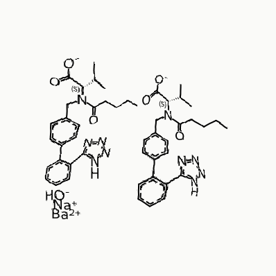 CCCCC(=O)N(Cc1ccc(-c2ccccc2-c2nnn[nH]2)cc1)[C@H](C(=O)[O-])C(C)C.CCCCC(=O)N(Cc1ccc(-c2ccccc2-c2nnn[nH]2)cc1)[C@H](C(=O)[O-])C(C)C.[Ba+2].[Na+].[OH-]